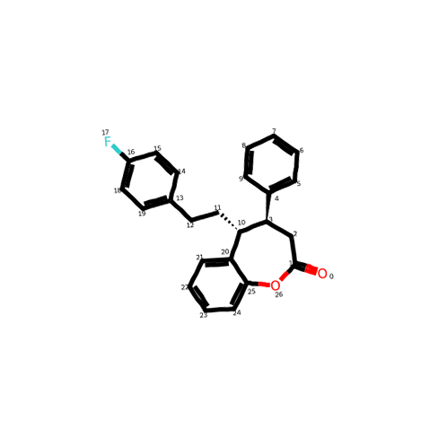 O=C1C[C@H](c2ccccc2)[C@@H](CCc2ccc(F)cc2)c2ccccc2O1